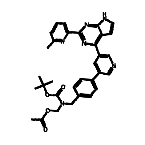 CC(=O)OCN(Cc1ccc(-c2cncc(-c3nc(-c4cccc(C)n4)nc4[nH]ccc34)c2)cc1)C(=O)OC(C)(C)C